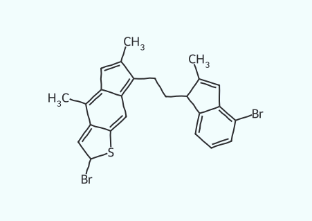 CC1=Cc2c(C)c3c(cc2=C1CCC1C(C)=Cc2c(Br)cccc21)SC(Br)C=3